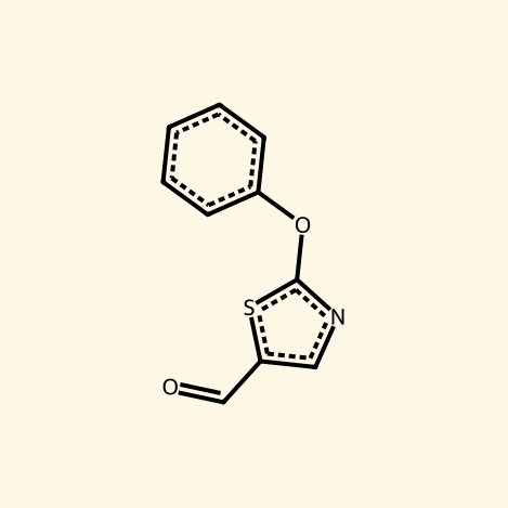 O=Cc1cnc(Oc2ccccc2)s1